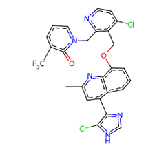 Cc1cc(-c2nc[nH]c2Cl)c2cccc(OCc3c(Cl)ccnc3Cn3cccc(C(F)(F)F)c3=O)c2n1